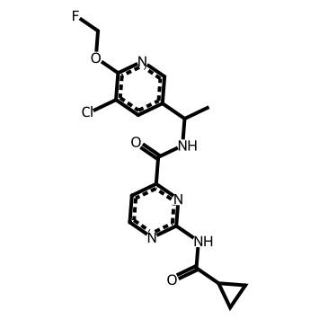 CC(NC(=O)c1ccnc(NC(=O)C2CC2)n1)c1cnc(OCF)c(Cl)c1